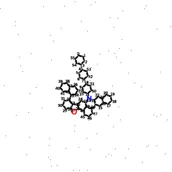 c1ccc(-c2ccc(-c3ccc(N(c4ccc5ccccc5c4)c4cc5c(oc6cccc(-c7cccc8ccccc78)c65)c5ccccc45)cc3)cc2)cc1